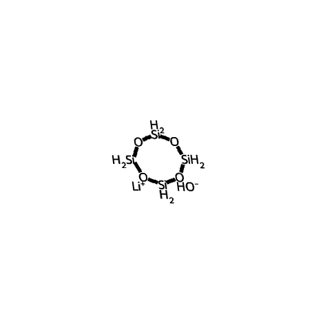 O1[SiH2]O[SiH2]O[SiH2]O[SiH2]1.[Li+].[OH-]